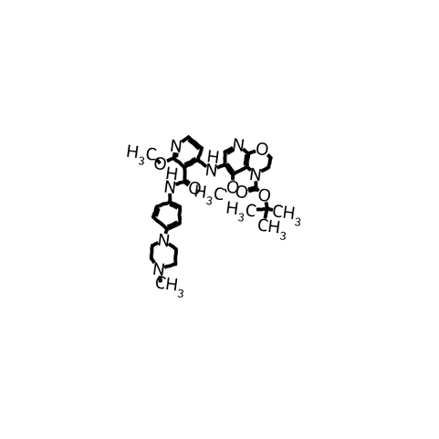 COc1nccc(Nc2cnc3c(c2OC)N(C(=O)OC(C)(C)C)CCO3)c1C(=O)Nc1ccc(N2CCN(C)CC2)cc1